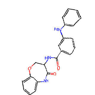 O=C(NC1COc2ccccc2NC1=O)c1cccc(Nc2ccccc2)c1